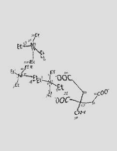 CC[N+](CC)(CC)CC.CC[N+](CC)(CC)CC.CC[N+](CC)(CC)CC.O=C([O-])CC(O)(CC(=O)[O-])C(=O)[O-]